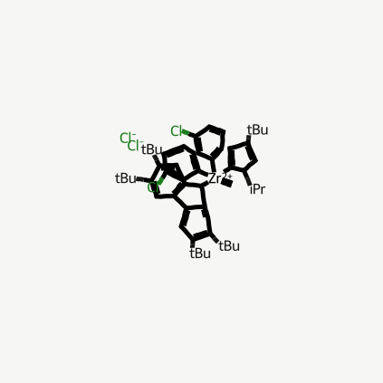 [CH2]=[Zr+2]([C]1=CC(C(C)(C)C)=CC1C(C)C)([c]1cccc(Cl)c1)([c]1cccc(Cl)c1)[CH]1c2cc(C(C)(C)C)c(C(C)(C)C)cc2-c2cc(C(C)(C)C)c(C(C)(C)C)cc21.[Cl-].[Cl-]